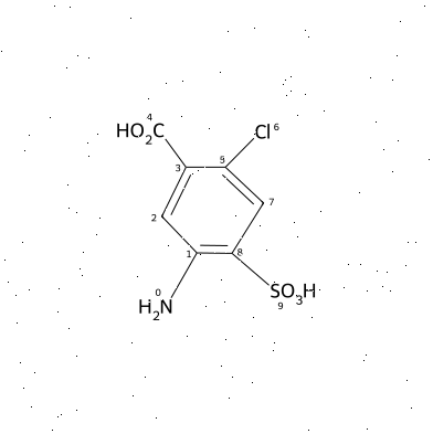 Nc1cc(C(=O)O)c(Cl)cc1S(=O)(=O)O